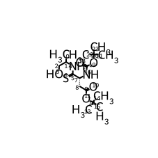 CC(CO)NC(=S)[C@@H](CC(=O)OC(C)(C)C)NC(=O)OC(C)(C)C